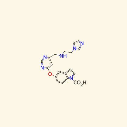 O=C(O)n1ccc2cc(Oc3cc(CNCCn4ccnc4)ncn3)ccc21